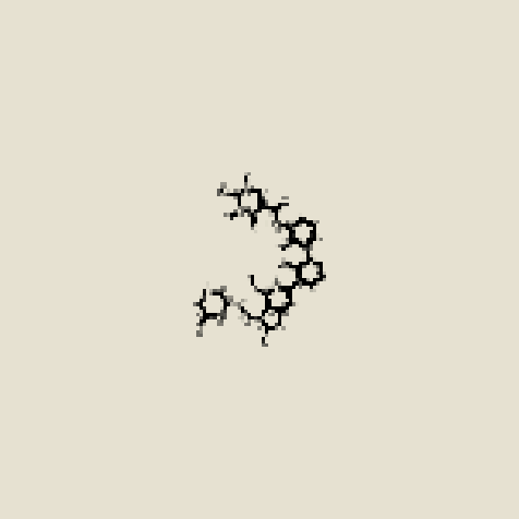 COc1nc(-c2cccc(-c3cccc(NC(=O)C4=CN(C)C(O)N(C)C4=O)c3C)c2Cl)cc2c1[C@@H](NC[C@@H]1COCC(=O)N1)[C@H](C)C2